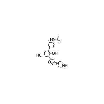 CC(=O)Nc1ccc(-c2cccc(-c3cc(N4CCNCC4)no3)c2O)cc1C.Cl